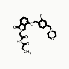 CCC(=O)NC(=O)CN1Cc2c(OCc3ccc(CN4CCOCC4)cc3F)cccc2C1=O